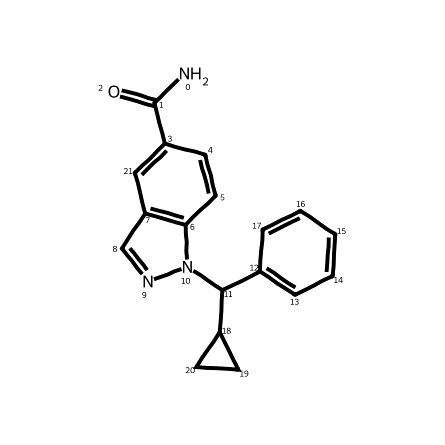 NC(=O)c1ccc2c(cnn2C(c2ccccc2)C2CC2)c1